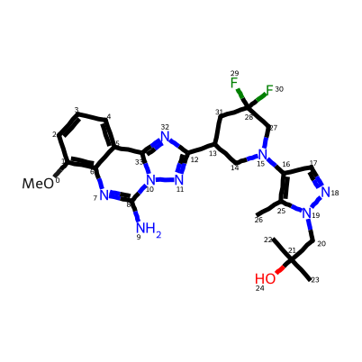 COc1cccc2c1nc(N)n1nc(C3CN(c4cnn(CC(C)(C)O)c4C)CC(F)(F)C3)nc21